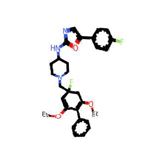 CCOC1=CC(F)(CN2CCC(Nc3ncc(-c4ccc(F)cc4)o3)CC2)CC(OCC)=C1c1ccccc1